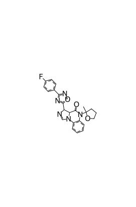 CC1(N2C(=O)C3C(c4nc(-c5ccc(F)cc5)no4)N=CN3c3ccccc32)CCCO1